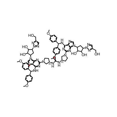 COc1ccc(C(Nc2nc(N3CC[C@@H](NC(=O)N[C@@H]4CCN(c5nc(NC(c6ccc(OC)cc6)c6ccc(OC)cc6)c6ncn(C7CC(n8ncc(CO)n8)C(O)C7O)c6n5)C4)C3)nc3c2ncn3C2CC(n3ncc(CO)n3)C(O)C2O)c2ccc(OC)cc2)cc1